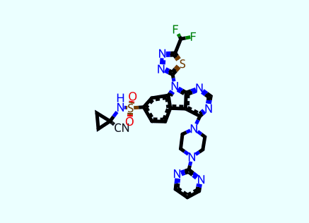 N#CC1(NS(=O)(=O)c2ccc3c4c(N5CCN(c6ncccn6)CC5)ncnc4n(-c4nnc(C(F)F)s4)c3c2)CC1